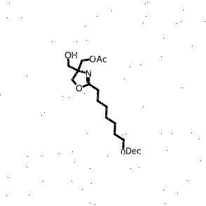 CCCCCCCCCCCCCCCCCC1=NC(CO)(COC(C)=O)CO1